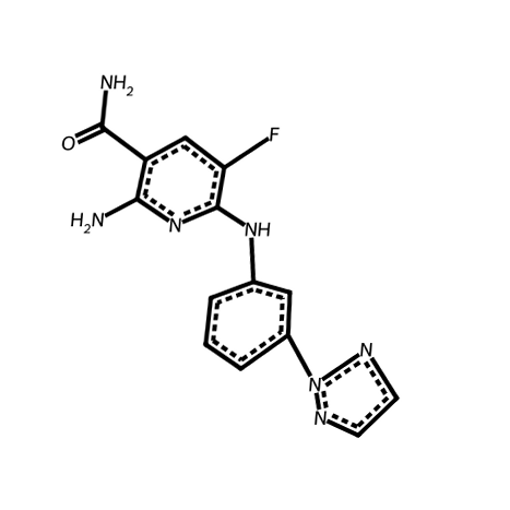 NC(=O)c1cc(F)c(Nc2cccc(-n3nccn3)c2)nc1N